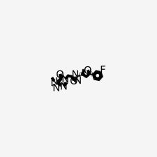 Cn1cnc2ncn(Cc3nc([C@@H]4CO[C@@H](c5cccc(F)c5)C4)no3)c(=O)c21